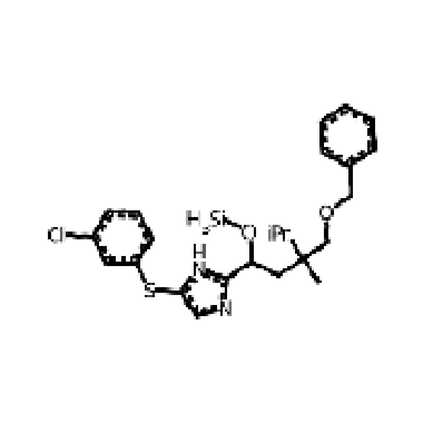 CC(C)C(C)(COCc1ccccc1)CC(O[SiH3])c1ncc(Sc2cccc(Cl)c2)[nH]1